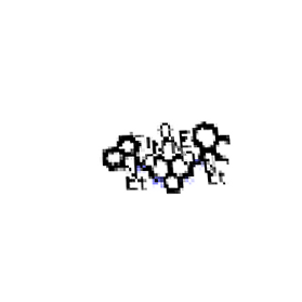 C=C1C=CCC=c2c1c(C)n(CC)/c2=C\C=C1\CC/C(=C/C=c2/c3cccc4cccc(c43)n2CC)C1C1C(=O)N(CC)C(=O)N(CC)C1=O